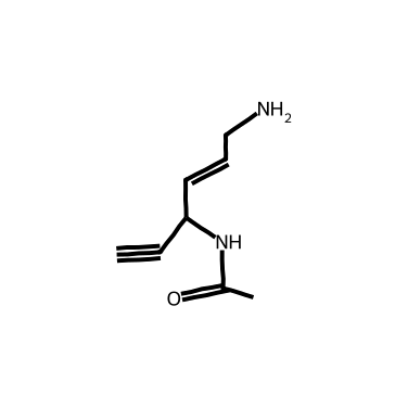 C#CC(C=CCN)NC(C)=O